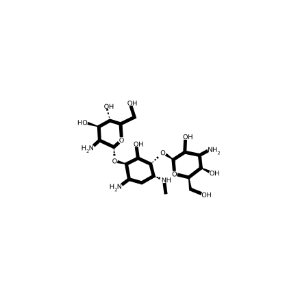 CN[C@@H]1CC(N)[C@@H](O[C@H]2OC(CO)[C@@H](O)[C@H](O)C2N)C(O)[C@@H]1O[C@@H]1O[C@H](CO)[C@H](O)C(N)C1O